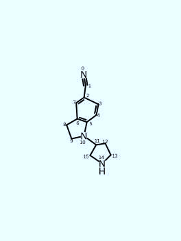 N#Cc1ccc2c(c1)CCN2C1CCNC1